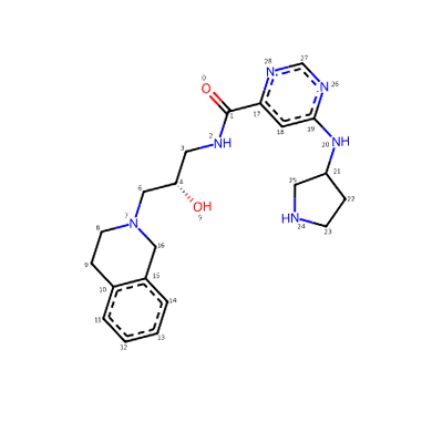 O=C(NC[C@H](O)CN1CCc2ccccc2C1)c1cc(NC2CCNC2)ncn1